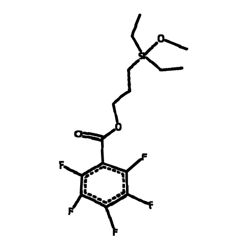 CC[Si](CC)(CCCOC(=O)c1c(F)c(F)c(F)c(F)c1F)OC